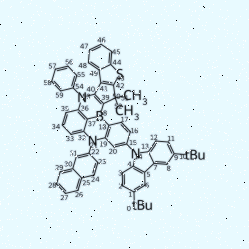 CC(C)(C)c1ccc2c(c1)c1cc(C(C)(C)C)ccc1n2-c1ccc2c(c1)N(c1ccc3ccccc3c1)c1cccc3c1B2C1=C(c2c(sc4ccccc24)C1(C)C)N3c1ccccc1